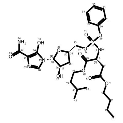 CCCCOC(=O)C[C@H](NP(=O)(OC[C@@H]1C[C@@H](O)[C@H](n2cnc(C(N)=O)c2O)O1)Oc1ccccc1)C(=O)OCCC(C)C